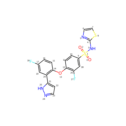 O=S(=O)(Nc1nccs1)c1ccc(Oc2ccc(F)cc2-c2ccn[nH]2)c(F)c1